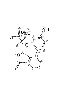 C=C1OCc2c1cccc2-c1ccc(O)c(OC)c1OC(C)(C)C(=C)C